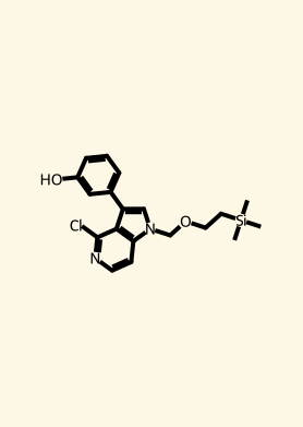 C[Si](C)(C)CCOCn1cc(-c2cccc(O)c2)c2c(Cl)nccc21